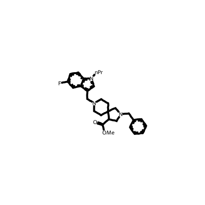 CCCn1cc(CN2CCC3(CC2)CN(Cc2ccccc2)CC3C(=O)OC)c2cc(F)ccc21